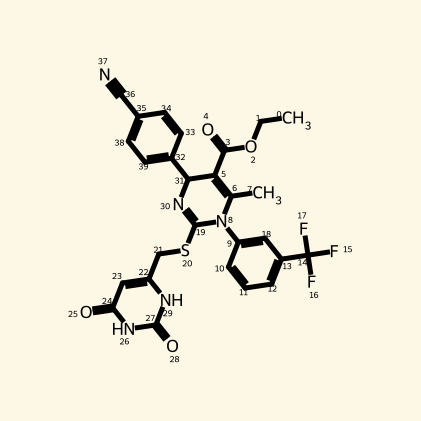 CCOC(=O)C1=C(C)N(c2cccc(C(F)(F)F)c2)C(SCc2cc(=O)[nH]c(=O)[nH]2)=NC1c1ccc(C#N)cc1